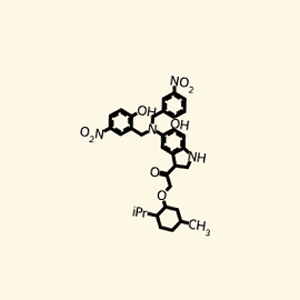 CC1CCC(C(C)C)C(OCC(=O)C2CNc3ccc(N(Cc4cc([N+](=O)[O-])ccc4O)Cc4cc([N+](=O)[O-])ccc4O)cc32)C1